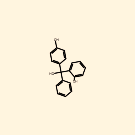 Oc1ccc(C(O)(c2ccccc2)c2ccccc2O)cc1